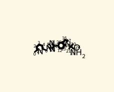 Cc1cccc(Cn2cnc(-c3ccc4c(ccn4C(C)(C)C(N)=O)c3)n2)n1